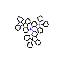 c1ccc(C2(c3ccccc3)c3ccccc3-c3ccc(N(c4cccc5c4-c4ccccc4C5(c4ccccc4)c4ccccc4)c4cccc5c4-c4ccccc4C54c5ccccc5-c5ccccc54)cc32)cc1